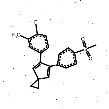 CS(=O)(=O)c1ccc(C2=CC3(C=C2c2ccc(F)c(C(F)(F)F)c2)CC3)cc1